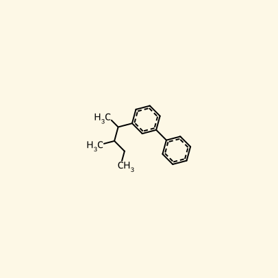 CCC(C)C(C)c1cccc(-c2ccccc2)c1